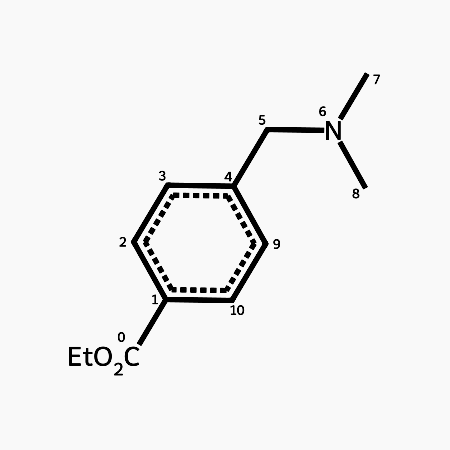 CCOC(=O)c1ccc(CN(C)C)cc1